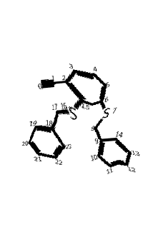 [C]#Cc1cccc(SCc2ccccc2)c1SCc1ccccc1